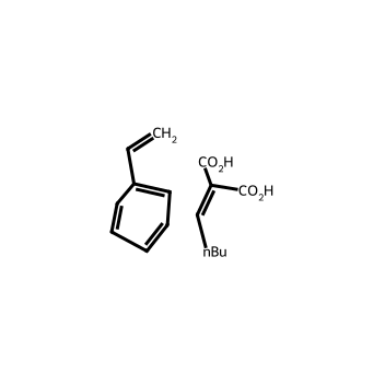 C=Cc1ccccc1.CCCCC=C(C(=O)O)C(=O)O